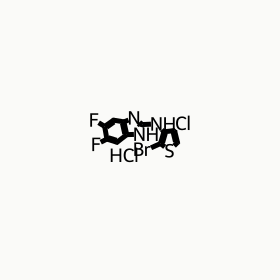 Cl.Fc1cc2nc(Nc3c(Cl)csc3Br)[nH]c2cc1F